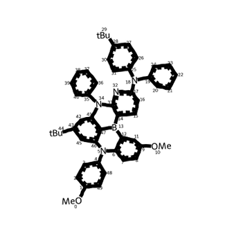 COc1ccc(N2c3ccc(OC)cc3B3c4ccc(N(c5ccccc5)c5ccc(C(C)(C)C)cc5)nc4N(c4ccccc4)c4cc(C(C)(C)C)cc2c43)cc1